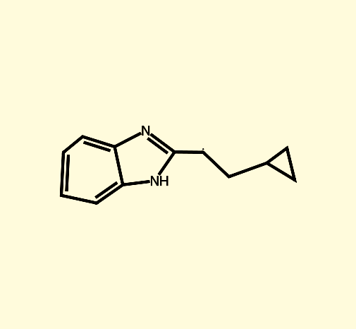 [CH](CC1CC1)c1nc2ccccc2[nH]1